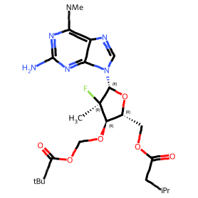 CNc1nc(N)nc2c1ncn2[C@@H]1O[C@H](COC(=O)CC(C)C)[C@@H](OCOC(=O)C(C)(C)C)[C@@]1(C)F